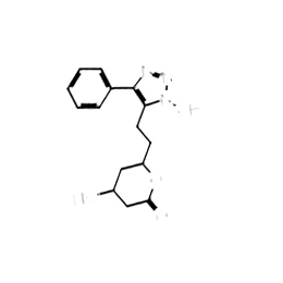 Cn1nnc(-c2ccccc2)c1CCC1CC(O)CC(=O)O1